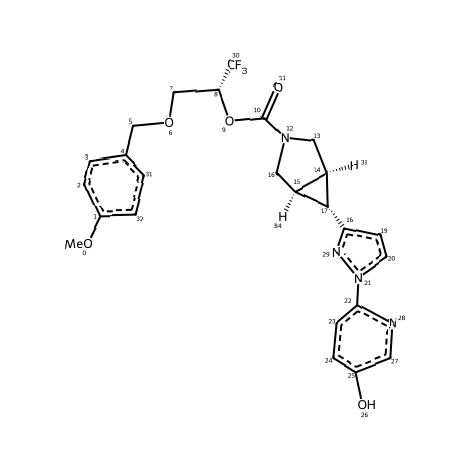 COc1ccc(COC[C@@H](OC(=O)N2C[C@@H]3[C@H](C2)[C@H]3c2ccn(-c3ccc(O)cn3)n2)C(F)(F)F)cc1